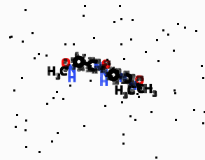 CC(=O)Nc1cccc(C2CCN(C(=O)Nc3ccc(N4CCC(N(C)C(C)=O)C4)cc3)CC2)c1